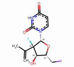 C=C(C)[C@@]1(F)[C@H](O)[C@@H](CI)O[C@H]1n1ccc(=O)[nH]c1=O